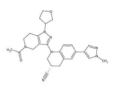 CC(=O)N1CCc2c(c(N3C[C@@H](C#N)Cc4cc(-c5cnn(C)c5)ccc43)nn2C2CCOC2)C1